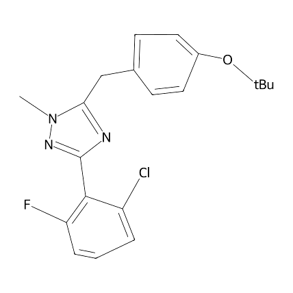 Cn1nc(-c2c(F)cccc2Cl)nc1Cc1ccc(OC(C)(C)C)cc1